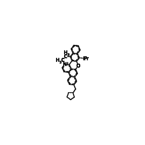 Cc1c2c(c(C(C)C)c3ccccc13)Oc1cc3cc(CC4CCCC4)ccc3c3cc[n+](C)c-2c13